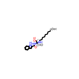 CCCCCCCCCCCCCCCCCCN[C@](C=O)(NC(=O)c1cc2ccccc2[nH]1)[C@@H](C)O